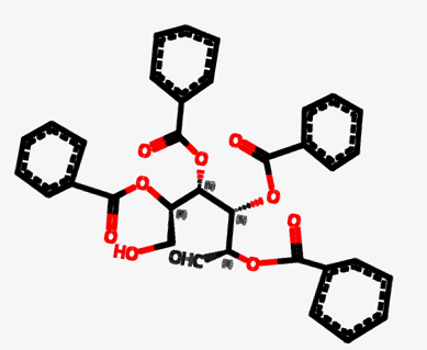 O=C[C@H](OC(=O)c1ccccc1)[C@@H](OC(=O)c1ccccc1)[C@@H](OC(=O)c1ccccc1)[C@@H](CO)OC(=O)c1ccccc1